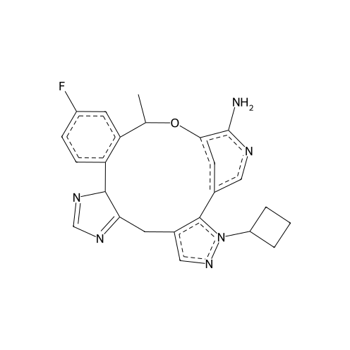 CC1Oc2cc(cnc2N)-c2c(cnn2C2CCC2)CC2=NC=NC2c2ccc(F)cc21